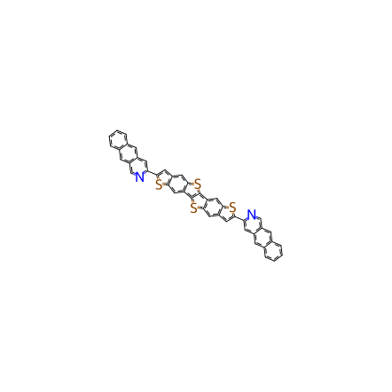 c1ccc2cc3cc(-c4cc5cc6sc7c8cc9sc(-c%10cc%11cc%12ccccc%12cc%11cn%10)cc9cc8sc7c6cc5s4)ncc3cc2c1